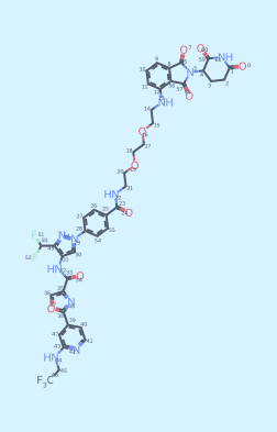 O=C1CCC(N2C(=O)c3cccc(NCCOCCOCCNC(=O)c4ccc(-n5cc(NC(=O)c6coc(-c7ccnc(NCC(F)(F)F)c7)n6)c(C(F)F)n5)cc4)c3C2=O)C(=O)N1